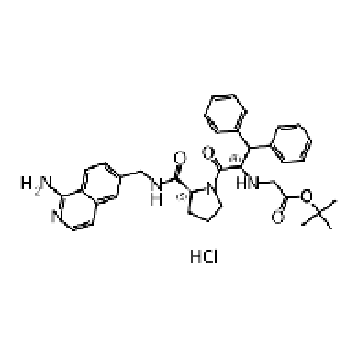 CC(C)(C)OC(=O)CN[C@@H](C(=O)N1CCC[C@H]1C(=O)NCc1ccc2c(N)nccc2c1)C(c1ccccc1)c1ccccc1.Cl